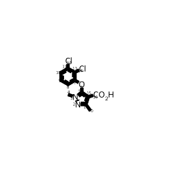 Cc1nn(C)c(Oc2cccc(Cl)c2Cl)c1C(=O)O